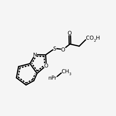 CCCC.O=C(O)CC(=O)OSc1nc2ccccc2o1